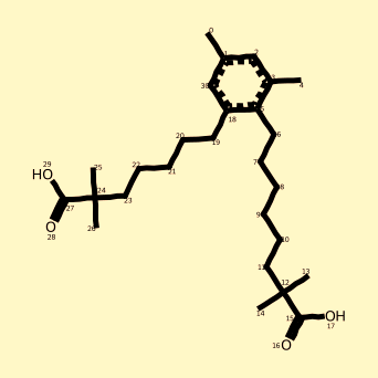 Cc1cc(C)c(CCCCCCC(C)(C)C(=O)O)c(CCCCCC(C)(C)C(=O)O)c1